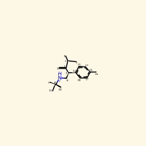 C=C(C(C)C)[C@H](CNC(C)(C)C)c1ccc(C)cc1